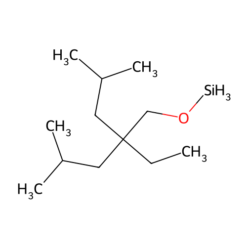 CCC(CO[SiH3])(CC(C)C)CC(C)C